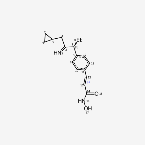 CC[C@H](C(=N)CC1CC1)c1ccc(/C=C/C(=O)NO)cc1